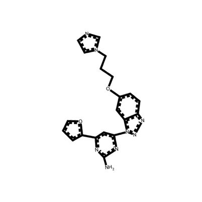 Nc1nc(-c2ccco2)cc(-n2nnc3ccc(OCCCn4ccnc4)cc32)n1